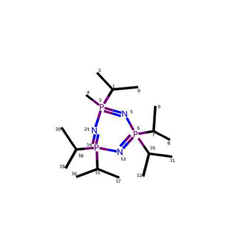 CC(C)P1(C)=NP(C(C)C)(C(C)C)=NP(C(C)C)(C(C)C)=N1